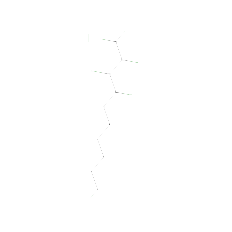 FCCCCCCC(Cl)C(Cl)C(Br)C(F)Br